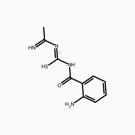 CC(=N)/N=C(\S)NC(=O)c1ccccc1N